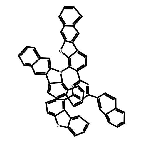 c1ccc2cc(-c3nc(-c4ccc5c(oc6cc7ccccc7cc65)c4-n4c5cc6ccccc6cc5c5ccc6ccccc6c54)nc(-c4cccc5oc6ccccc6c45)n3)ccc2c1